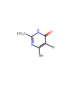 CCCc1nc(C(=O)OCC)[nH]c(=O)c1CC